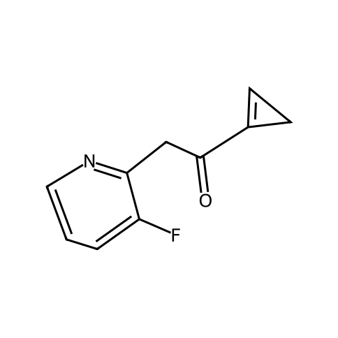 O=C(Cc1ncccc1F)C1=CC1